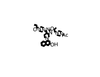 C=CC(=O)N1CCN(c2nc(OC(C)CN3CCN(C(C)=O)CC3)nc3c2CCN(c2cc(O)cc4ccccc24)C3)CC1